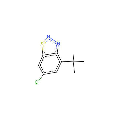 CC(C)(C)c1cc(Cl)cc2snnc12